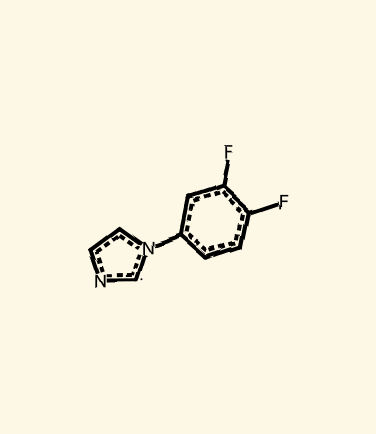 Fc1ccc(-n2[c]ncc2)cc1F